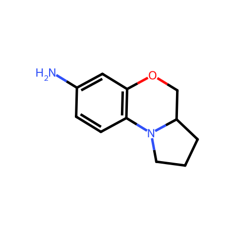 Nc1ccc2c(c1)OCC1CCCN21